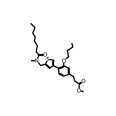 CCCCCCCC(=O)N(C)Cc1cc(-c2ccc(CCC(=O)OC)cc2OCCCC)cs1